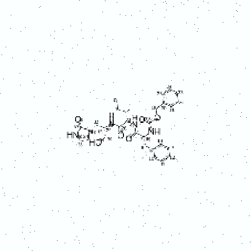 CCC[C@H](NC(=O)[C@@H](Cc1ccccc1)NC(=O)OCc1ccccc1)C(=O)N[C@H](CO)C[C@@H]1CCNC1=O